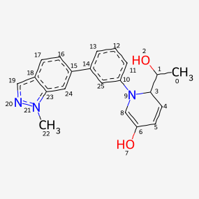 CC(O)C1C=CC(O)=CN1c1cccc(-c2ccc3cnn(C)c3c2)c1